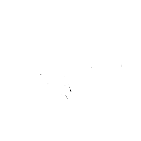 CC(C)=CCC[C@@H](C)[C@H]1C[C@H](F)[C@@]2(C)C3=C(CC[C@]12C)[C@@]1(C)CCC(O)C(C)(C)C1CC3